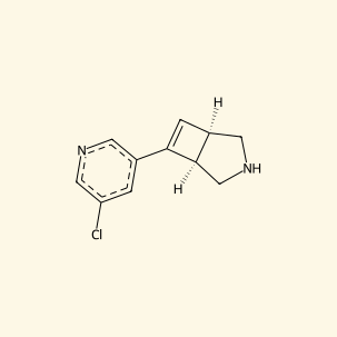 Clc1cncc(C2=C[C@H]3CNC[C@@H]23)c1